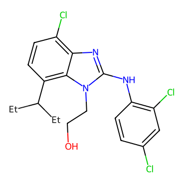 CCC(CC)c1ccc(Cl)c2nc(Nc3ccc(Cl)cc3Cl)n(CCO)c12